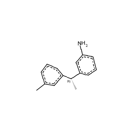 Cc1cccc([C@@H](C)c2cccc(N)c2)c1